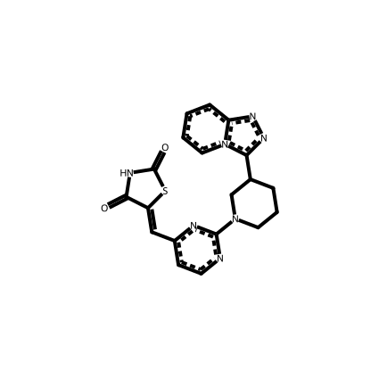 O=C1NC(=O)C(=Cc2ccnc(N3CCCC(c4nnc5ccccn45)C3)n2)S1